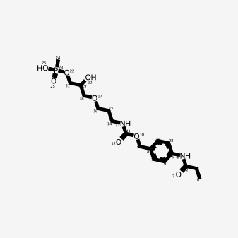 CCC(=O)Nc1ccc(COC(=O)NCCCOCC(O)COP(C)(=O)O)cc1